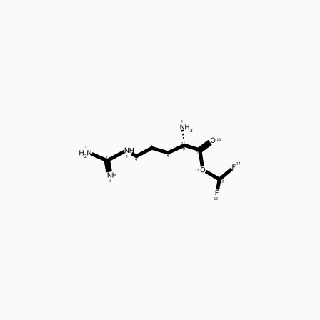 N=C(N)NCCC[C@H](N)C(=O)OC(F)F